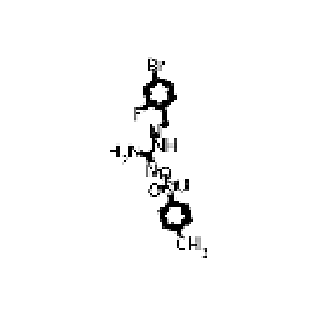 Cc1ccc(S(=O)(=O)ON=C(N)NN=Cc2ccc(Br)cc2F)cc1